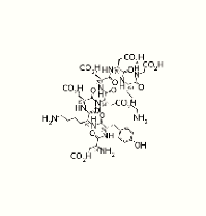 NCCCC[C@H](NC(=O)[C@H](CC(=O)O)NC(=O)[C@H](CC(=O)O)NC(=O)[C@H](CC(=O)O)NC(=O)[C@H](CC(=O)O)NC(=O)[C@H](CCCCN)NC(=O)[C@H](Cc1ccc(O)cc1)NC(=O)[C@@H](N)CC(=O)O)C(=O)NCC(=O)O